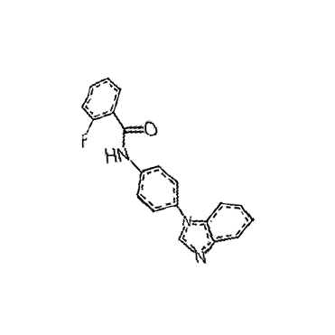 O=C(Nc1ccc(-n2cnc3ccccc32)cc1)c1ccccc1F